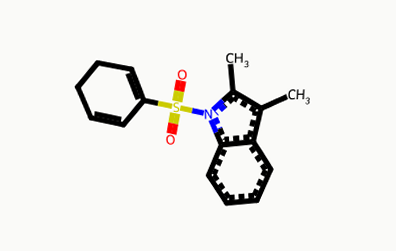 Cc1c(C)n(S(=O)(=O)C2=CCCC=C2)c2ccccc12